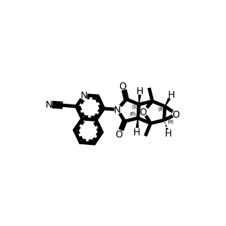 CC12OC(C)([C@@H]3O[C@H]31)[C@H]1C(=O)N(c3cnc(C#N)c4ccccc34)C(=O)[C@H]12